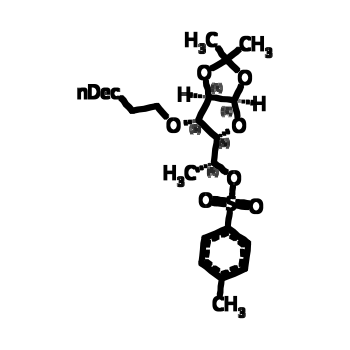 CCCCCCCCCCCCO[C@@H]1[C@H]2OC(C)(C)O[C@H]2O[C@@H]1[C@@H](C)OS(=O)(=O)c1ccc(C)cc1